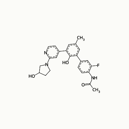 CC(=O)Nc1ccc(-c2cc(C)cc(-c3ccnc(N4CCC(O)C4)c3)c2O)cc1F